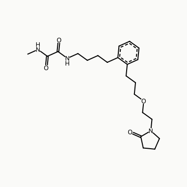 CNC(=O)C(=O)NCCCCc1ccccc1CCCOCCN1CCCC1=O